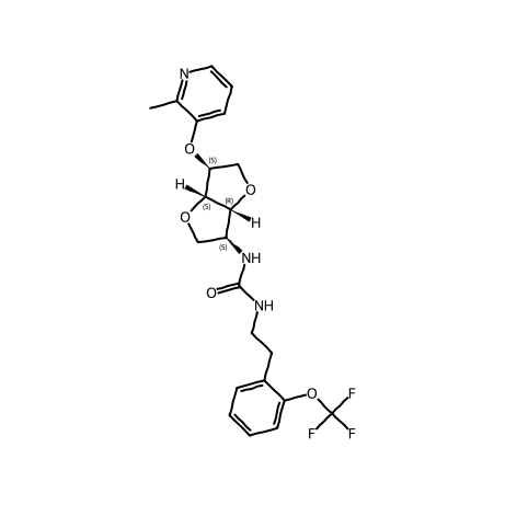 Cc1ncccc1O[C@H]1CO[C@H]2[C@@H]1OC[C@@H]2NC(=O)NCCc1ccccc1OC(F)(F)F